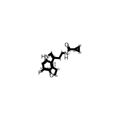 O=C(NCCc1c[nH]c2cc(F)c3c(c12)CCO3)C1CC1